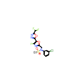 CCS(=O)(=O)N(Cc1nc(F)c(-c2nnc(C(F)F)o2)o1)c1cccc(Cl)c1